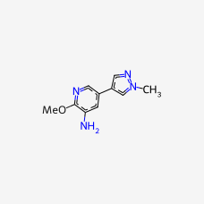 COc1ncc(-c2cnn(C)c2)cc1N